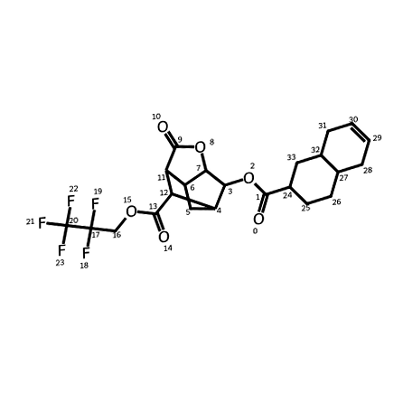 O=C(OC1C2CC3C1OC(=O)C3C2C(=O)OCC(F)(F)C(F)(F)F)C1CCC2CC=CCC2C1